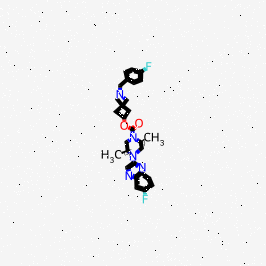 C[C@@H]1CN(c2cnc3cc(F)ccc3n2)[C@@H](C)CN1C(=O)OC1CC2(C1)CN(Cc1ccc(F)cc1)C2